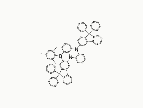 Cc1cc(C)c(B2c3cc4c(cc3N3c5ccccc5N(c5ccc6c(c5)-c5ccccc5C6(c5ccccc5)c5ccccc5)c5cccc2c53)-c2ccccc2C4(c2ccccc2)c2ccccc2)c(C)c1